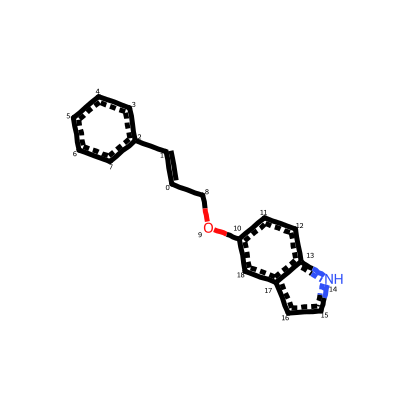 C(=C\c1ccccc1)/COc1ccc2[nH]ccc2c1